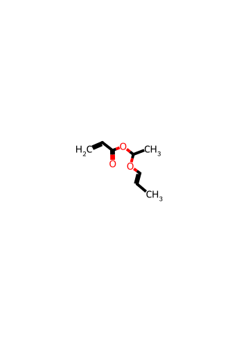 C=CC(=O)OC(C)OC=CC